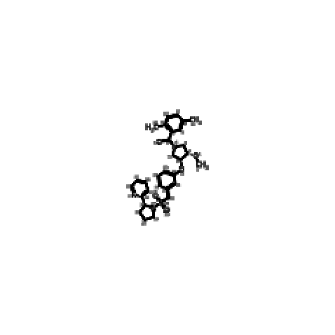 CO[C@H]1CN(C(=O)c2cc(C)ccc2C)C[C@@H]1Oc1cccc(CS(=O)(=O)N2CCC[C@H]2c2ccccn2)c1